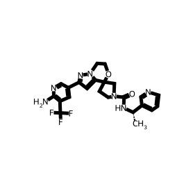 C[C@H](NC(=O)N1CCC2(C1)OCCn1nc(-c3cnc(N)c(C(F)(F)F)c3)cc12)c1cccnc1